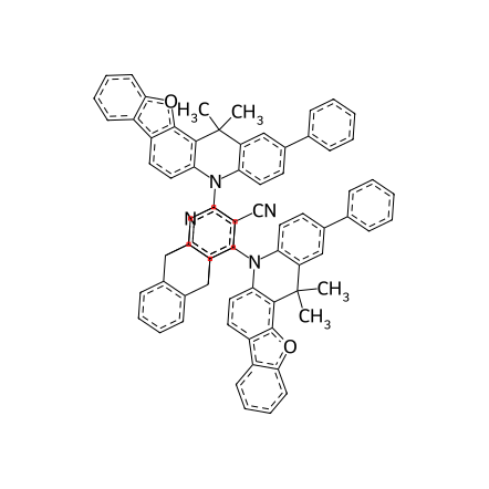 CC1(C)c2cc(-c3ccccc3)ccc2N(c2nc3c(c(N4c5ccc(-c6ccccc6)cc5C(C)(C)c5c4ccc4c5oc5ccccc54)c2C#N)C2c4ccccc4C3c3ccccc32)c2ccc3c(oc4ccccc43)c21